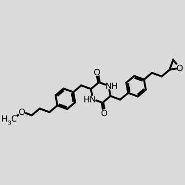 COCCCc1ccc(CC2NC(=O)C(Cc3ccc(CCC4CO4)cc3)NC2=O)cc1